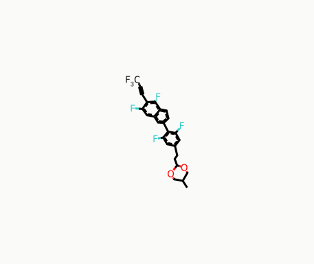 CC1COC(CCc2cc(F)c(-c3ccc4c(F)c(C#CC(F)(F)F)c(F)cc4c3)c(F)c2)OC1